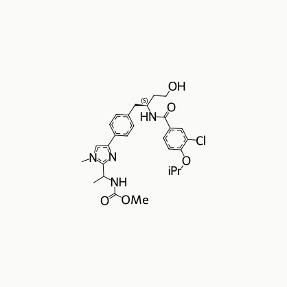 COC(=O)NC(C)c1nc(-c2ccc(C[C@@H](CCO)NC(=O)c3ccc(OC(C)C)c(Cl)c3)cc2)cn1C